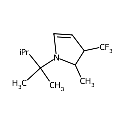 CC1C(C(F)(F)F)C=CN1C(C)(C)C(C)C